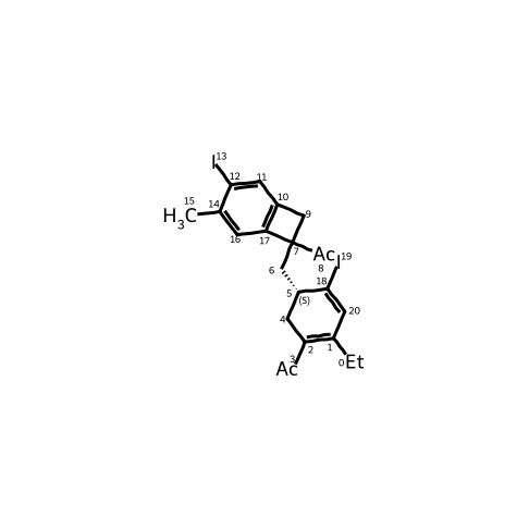 CCC1=C(C(C)=O)C[C@H](CC2(C(C)=O)Cc3cc(I)c(C)cc32)C(I)=C1